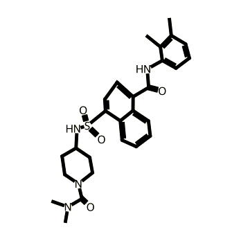 Cc1cccc(NC(=O)c2ccc(S(=O)(=O)NC3CCN(C(=O)N(C)C)CC3)c3ccccc23)c1C